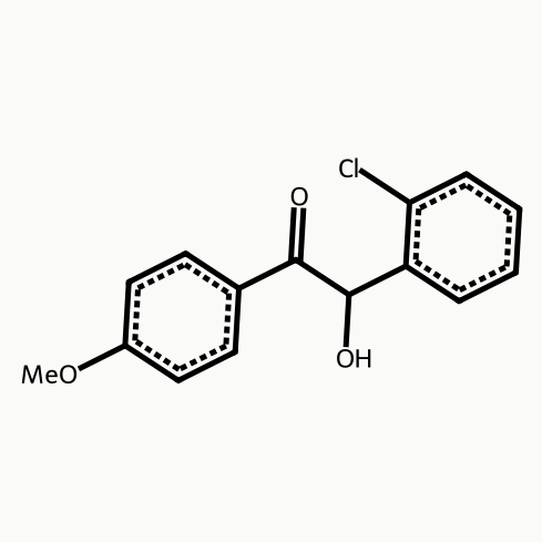 COc1ccc(C(=O)C(O)c2ccccc2Cl)cc1